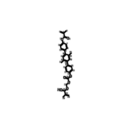 C=C(C)C(=O)Oc1ccc(-c2cc(C)c(-c3ccc(OC(=O)OCOC(O)C(=C)C)cc3)cc2C)cc1